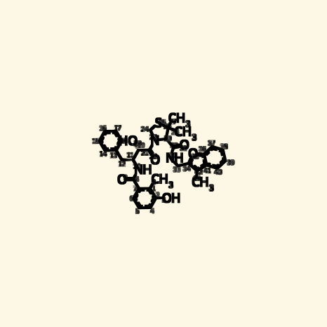 Cc1c(O)cccc1C(=O)N[C@@H](Cc1ccccc1)[C@H](O)C(=O)N1CSC(C)(C)[C@H]1C(=O)NCc1oc2ccccc2c1C